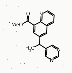 COC(=O)c1cc(C(C)c2cncnc2)cc2cccnc12